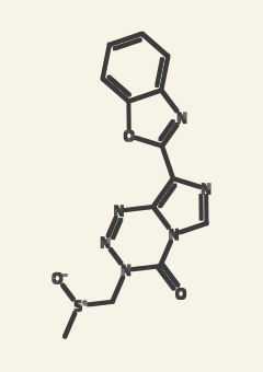 C[S+]([O-])Cn1nnc2c(-c3nc4ccccc4o3)ncn2c1=O